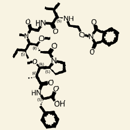 CC[C@H](C)C([C@@H](CC(=O)N1CCC[C@H]1[C@H](OC)[C@@H](C)C(=O)N[C@@H](Cc1ccccc1)C(=O)O)OC)N(C)C(=O)CNC(=O)[C@@H](NCCON1C(=O)c2ccccc2C1=O)C(C)C